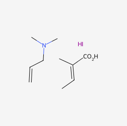 C=CCN(C)C.CC=C(C)C(=O)O.I